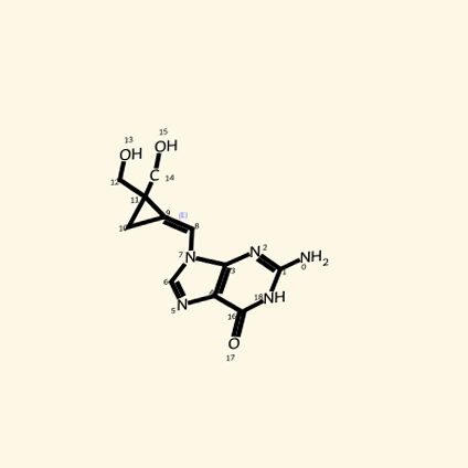 Nc1nc2c(ncn2/C=C2\CC2(CO)CO)c(=O)[nH]1